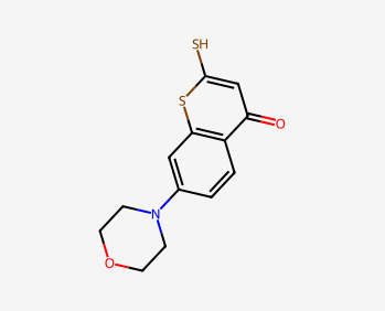 O=c1cc(S)sc2cc(N3CCOCC3)ccc12